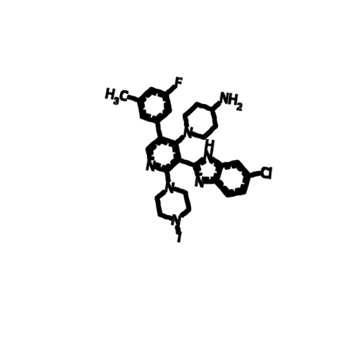 Cc1cc(F)cc(-c2cnc(N3CCN(I)CC3)c(-c3nc4ccc(Cl)cc4[nH]3)c2N2CCC(N)CC2)c1